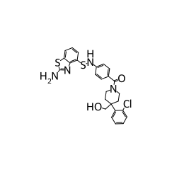 Nc1nc2c(SNc3ccc(C(=O)N4CCC(CO)(c5ccccc5Cl)CC4)cc3)cccc2s1